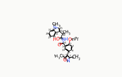 CCCOc1ccc(-c2c(C)noc2C)cc1C(=O)N[C@H](O)C(C)c1cn(C)c2ccccc12